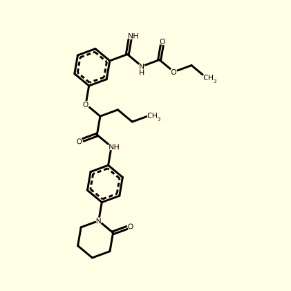 CCCC(Oc1cccc(C(=N)NC(=O)OCC)c1)C(=O)Nc1ccc(N2CCCCC2=O)cc1